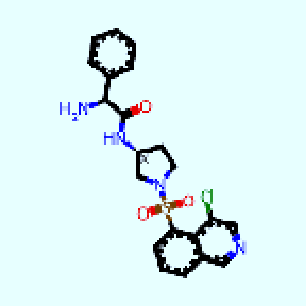 NC(C(=O)N[C@H]1CCN(S(=O)(=O)c2cccc3cncc(Cl)c23)C1)c1ccccc1